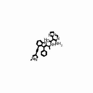 CC(NC(=O)c1c(N)ncn2ccnc12)c1[nH]c2cccc(C#Cc3cnn(C)c3)c2c1-c1ccccc1